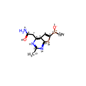 CCC[S+]([O-])c1cc2c(CC(N)=O)nc(C)nc2s1